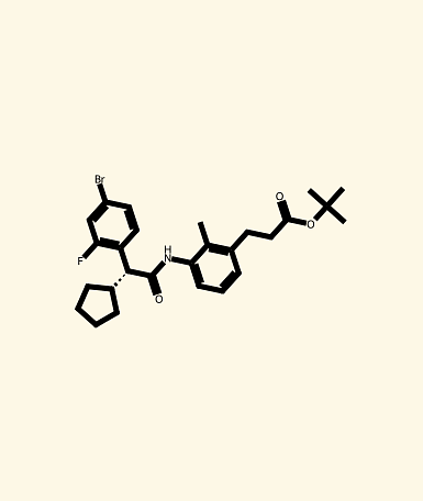 Cc1c(CCC(=O)OC(C)(C)C)cccc1NC(=O)[C@@H](c1ccc(Br)cc1F)C1CCCC1